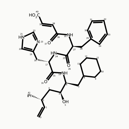 C=C[C@@H](C[C@H](O)[C@H](CC1CCCCC1)NC(=O)[C@H](Cc1c[nH]cn1)NC(=O)[C@H](Cc1ccccc1)NC(=O)/C=C/C(=O)O)C(C)C